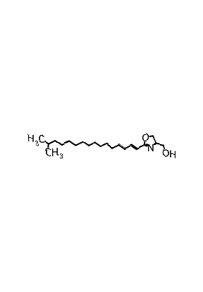 CC(C)CCCCCCCCCCCCC=CC1=NC(CO)CO1